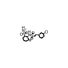 NS(=O)(=O)c1cccc(F)c1NS(=O)(=O)C=Cc1cccc(Cl)c1